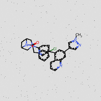 Cn1cc(-c2cc(-c3ccc(N4CC5CC(C4)N5C(=O)Cc4cccc(Cl)c4)nc3)c3cccnc3c2)cn1